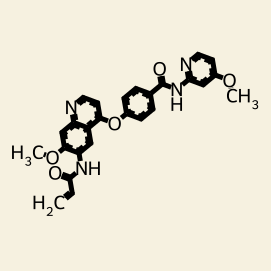 C=CC(=O)Nc1cc2c(Oc3ccc(C(=O)Nc4cc(OC)ccn4)cc3)ccnc2cc1OC